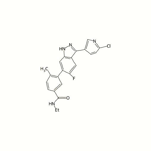 CCNC(=O)c1ccc(C)c(-c2cc3[nH]nc(-c4ccc(Cl)nc4)c3cc2F)c1